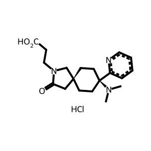 CN(C)[C@]1(c2ccccn2)CC[C@@]2(CC1)CC(=O)N(CCC(=O)O)C2.Cl